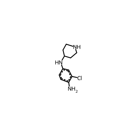 Nc1ccc(NC2CCNCC2)cc1Cl